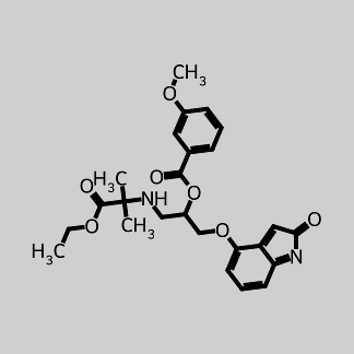 CCOC(=O)C(C)(C)NCC(COc1cccc2c1=CC(=O)N=2)OC(=O)c1cccc(OC)c1